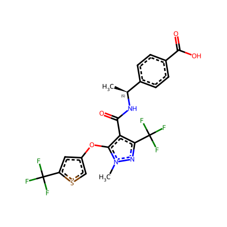 C[C@H](NC(=O)c1c(C(F)(F)F)nn(C)c1Oc1csc(C(F)(F)F)c1)c1ccc(C(=O)O)cc1